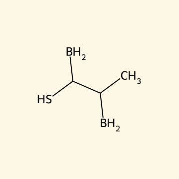 BC(C)C(B)S